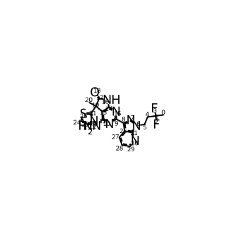 CC(F)(F)CCn1nc(-c2nc(N)c3c(n2)NC(=O)C3(C)c2nncs2)c2cccnc21